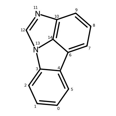 c1ccc2c(c1)c1cccc3ncn2c31